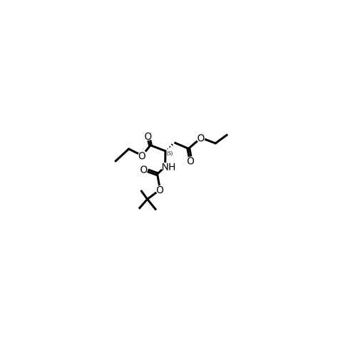 CCOC(=O)C[C@H](NC(=O)OC(C)(C)C)C(=O)OCC